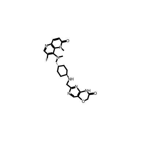 CN(C[C@H]1CC[C@H](NCc2ncc3c(n2)NC(=O)CO3)CC1)c1c(F)cnc2ccc(=O)n(C)c12